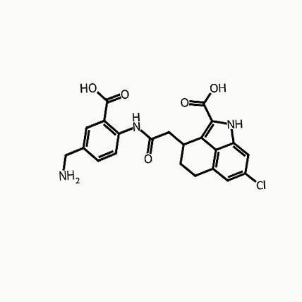 NCc1ccc(NC(=O)CC2CCc3cc(Cl)cc4[nH]c(C(=O)O)c2c34)c(C(=O)O)c1